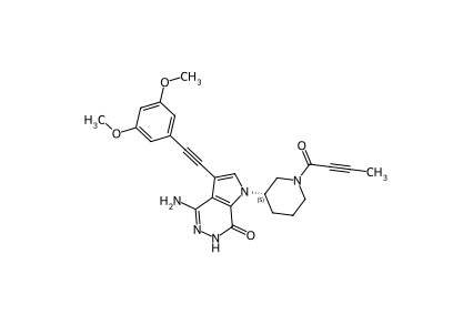 CC#CC(=O)N1CCC[C@H](n2cc(C#Cc3cc(OC)cc(OC)c3)c3c(N)n[nH]c(=O)c32)C1